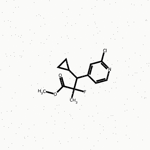 COC(=O)C(C)(F)C(c1ccnc(Cl)c1)C1CC1